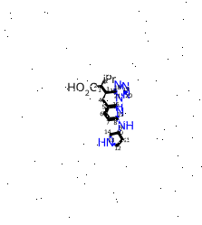 CC(C)[C@H](C(=O)O)[C@H](Cc1ccc(NC2CCNC2)nc1)c1nnn[nH]1